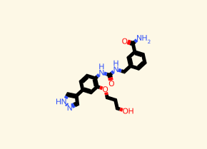 NC(=O)c1cccc(CNC(=O)Nc2ccc(-c3cn[nH]c3)cc2OCCCO)c1